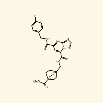 COC(=O)C12CCC(CNC(=O)c3cc(C(=O)NCc4ccc(F)cc4)nc4ncnn34)(CC1)CC2